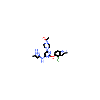 CC(=O)N1CCN(c2cc(Nc3cc(C)[nH]n3)nc(Oc3ccc4[nH]c(C)cc4c3Cl)n2)CC1